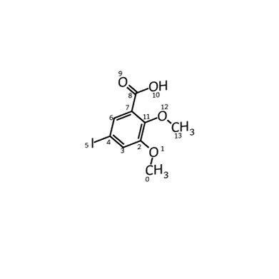 COc1cc(I)cc(C(=O)O)c1OC